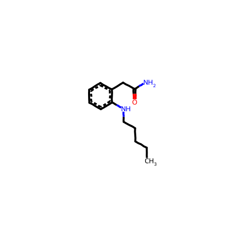 CCCCCNc1ccccc1CC(N)=O